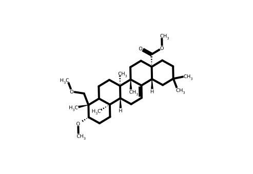 COC[C@]1(C)C2CC[C@]3(C)[C@H](CC=C4[C@H]5CC(C)(C)CC[C@]5(C(=O)OC)CC[C@]43C)[C@@]2(C)CC[C@@H]1OC